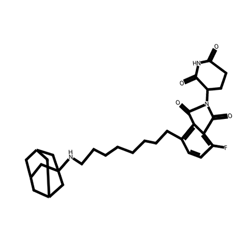 O=C1CCC(N2C(=O)c3c(F)ccc(CCCCCCCCNC45CC6CC(CC(C6)C4)C5)c3C2=O)C(=O)N1